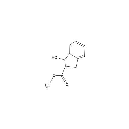 COC(=O)C1Cc2ccccc2C1O